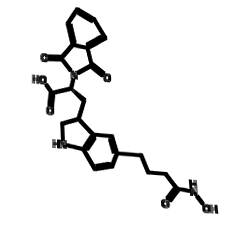 O=C(CCCc1ccc2c(c1)C(C[C@@H](C(=O)O)N1C(=O)c3ccccc3C1=O)CN2)NO